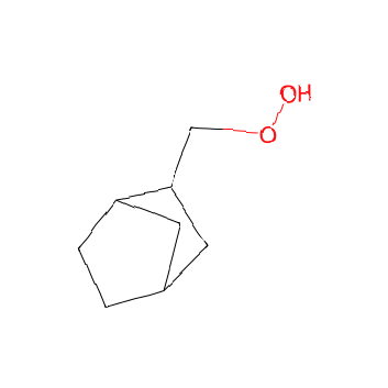 OOCC1CC2CCC1C2